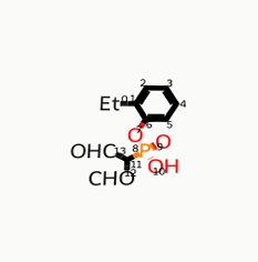 CCc1ccccc1OP(=O)(O)C(C=O)C=O